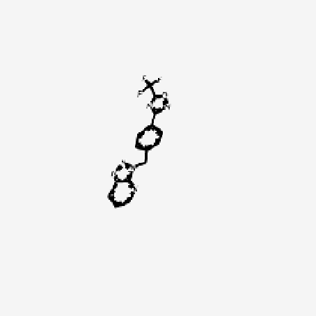 FC(F)(F)c1nc(-c2ccc(Cn3nnc4cccnc43)cc2)no1